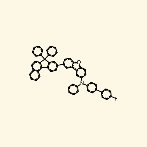 Fc1ccc(-c2ccc(N(c3ccccc3)c3ccc4oc5ccc(-c6ccc7c(c6)C(c6ccccc6)(c6ccccc6)c6ccc8ccccc8c6-7)cc5c4c3)cc2)cc1